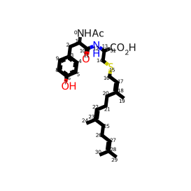 CC(=O)NC(Cc1ccc(O)cc1)C(=O)NC(CSCC=C(C)CCC=C(C)CCC=C(C)C)C(=O)O